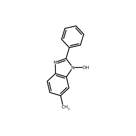 Cc1ccc2nc(-c3ccccc3)n(O)c2c1